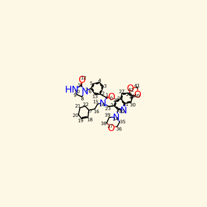 O=C(c1cccc(N2CCNC2=O)c1)N(CCC1C=CCCC1)Cc1cc2cc3c(cc2nc1N1CCOCC1)OCO3